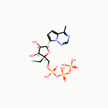 Cc1ncnn2c([C@@H]3O[C@](CCl)(COP(=O)(O)OP(=O)(O)OP(=O)(O)O)[C@@H](O)[C@H]3O)ccc12